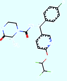 C[C@@H]1C(=O)NCCN1C(=O)N[C@H](c1ccc(Cl)cc1)c1ccc(OC(F)C(F)F)nc1